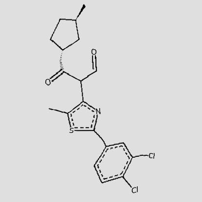 Cc1sc(-c2ccc(Cl)c(Cl)c2)nc1C(C=O)C(=O)[C@@H]1CC[C@@H](C)C1